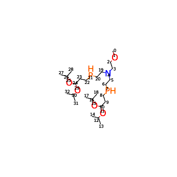 COCCN(CCPCCC(OC(C)C)OC(C)C)CCPCCC(OC(C)C)OC(C)C